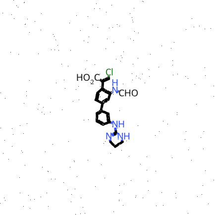 O=CNc1cc(-c2cccc(NC3=NCCCN3)c2)ccc1C(=CCl)C(=O)O